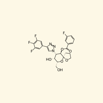 O=C(O[C@@H]1[C@@H](n2cc(-c3cc(F)c(F)c(F)c3)nn2)[C@@H](O)[C@@H](CO)O[C@@]12CCCO2)c1cccc(F)c1